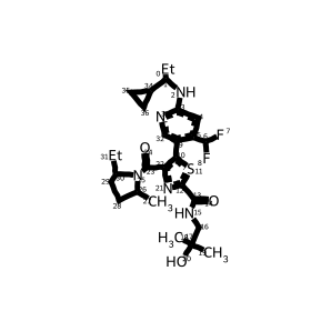 CCC(Nc1cc(C(F)F)c(-c2sc(C(=O)NCC(C)(C)O)nc2C(=O)N2C(C)CCC2CC)cn1)C1CC1